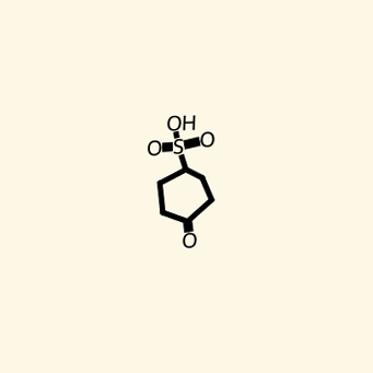 O=C1CCC(S(=O)(=O)O)CC1